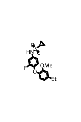 CCc1ccc(Oc2ccc(NS(=O)(=O)C3CC3)cc2F)c(OC)c1